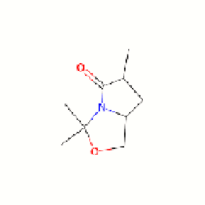 CC1CC2COC(C)(C)N2C1=O